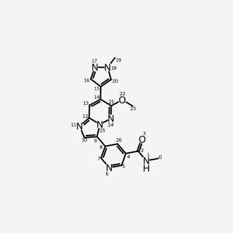 CNC(=O)c1cncc(-c2cnc3cc(-c4cnn(C)c4)c(OC)nn23)c1